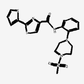 CS(=O)(=O)N1CCN(c2ccccc2NC(=O)c2csc(-c3cccs3)n2)CC1